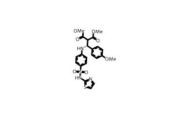 COC(=O)C(C(=O)OC)[C@@H](Nc1ccc(S(=O)(=O)Nc2nccs2)cc1)c1ccc(OC)cc1